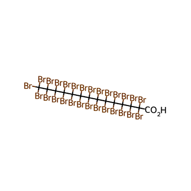 O=C(O)C(Br)(Br)C(Br)(Br)C(Br)(Br)C(Br)(Br)C(Br)(Br)C(Br)(Br)C(Br)(Br)C(Br)(Br)C(Br)(Br)C(Br)(Br)C(Br)(Br)C(Br)(Br)C(Br)(Br)Br